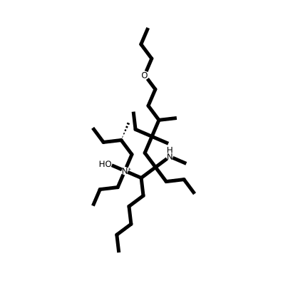 CCCCCC(C(CCC)(CC(C)(CC)C(C)CCOCCC)NC)[N+](O)(CCC)C[C@@H](C)CC